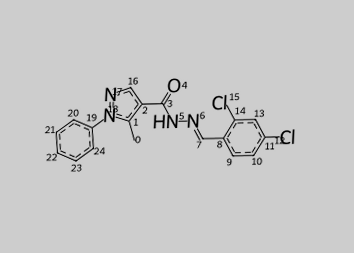 Cc1c(C(=O)NN=Cc2ccc(Cl)cc2Cl)cnn1-c1ccccc1